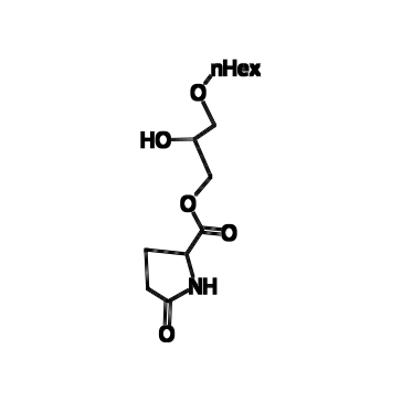 CCCCCCOCC(O)COC(=O)C1CCC(=O)N1